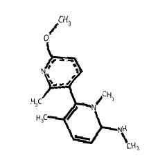 CNC1C=CC(C)=C(c2ccc(OC)nc2C)N1C